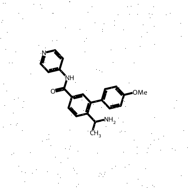 COc1ccc(-c2cc(C(=O)Nc3ccncc3)ccc2C(C)N)cc1